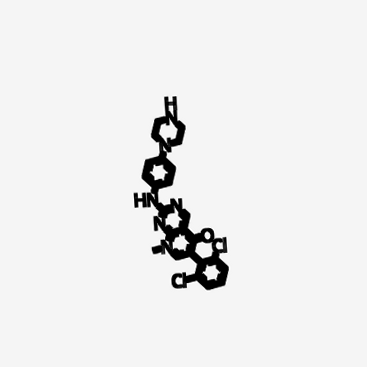 Cn1cc(-c2c(Cl)cccc2Cl)c(=O)c2cnc(Nc3ccc(N4CCNCC4)cc3)nc21